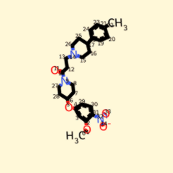 COc1cc(OC2CCN(C(=O)CCN3CCC(c4ccc(C)cc4)CC3)CC2)ccc1[N+](=O)[O-]